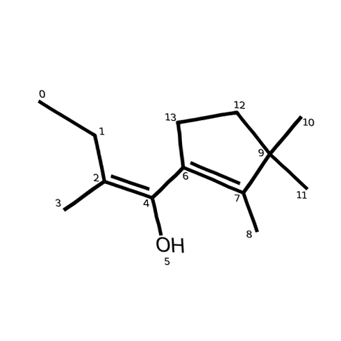 CCC(C)=C(O)C1=C(C)C(C)(C)CC1